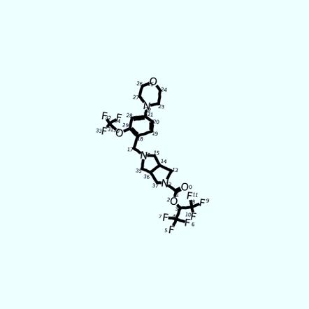 O=C(OC(C(F)(F)F)C(F)(F)F)N1CC2CN(Cc3ccc(N4CCOCC4)cc3OC(F)(F)F)CC2C1